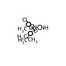 Cc1cc(Cl)cc(CN(C2CCNCC2)S(=O)(=O)c2ccc(C(C)(C)C)cc2)c1